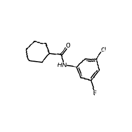 O=C(Nc1cc(F)cc(Cl)c1)C1CCCCC1